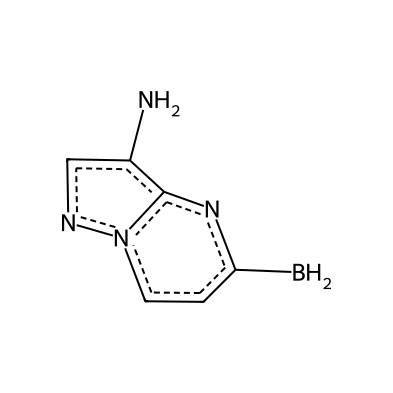 Bc1ccn2ncc(N)c2n1